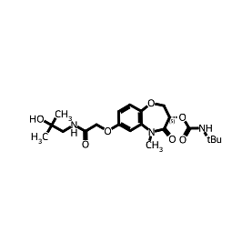 CN1C(=O)[C@@H](OC(=O)NC(C)(C)C)COc2ccc(OCC(=O)NCC(C)(C)O)cc21